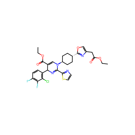 CCOC(=O)Cc1coc([C@H]2CC[C@H](N3C=C(C(=O)OCC)C(c4ccc(F)c(F)c4Cl)N=C3c3nccs3)CC2)n1